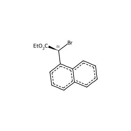 CCOC(=O)[C@@H](Br)c1cccc2ccccc12